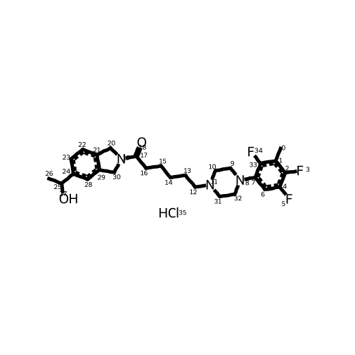 Cc1c(F)c(F)cc(N2CCN(CCCCCC(=O)N3Cc4ccc(C(C)O)cc4C3)CC2)c1F.Cl